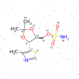 Cc1ncsc1[C@@H]1OC(C)(C)O[C@H]1COS(N)(=O)=O